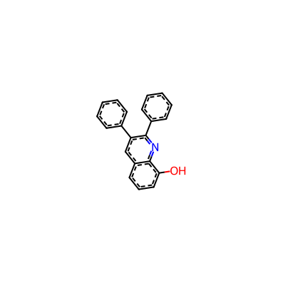 Oc1cccc2cc(-c3ccccc3)c(-c3ccccc3)nc12